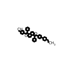 CCCC1CCC(c2ccc(-c3oc4ccc5c(ccc6oc(-c7ccc(CC)cc7)c(-c7ccccc7)c65)c4c3-c3ccccc3)cc2)CC1